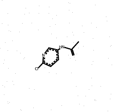 C=C(C)Nc1ccc(Cl)nc1